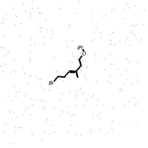 CC(=CCCBr)CCOC(C)C